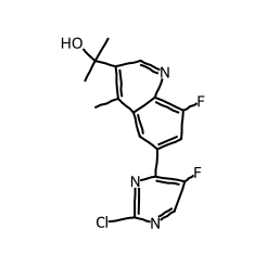 Cc1c(C(C)(C)O)cnc2c(F)cc(-c3nc(Cl)ncc3F)cc12